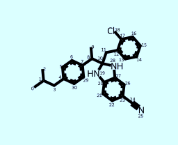 CC(C)Cc1ccc(C(C)C2(Cc3ccccc3Cl)Nc3ccc(C#N)cc3N2)cc1